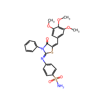 COc1cc(C=C2S/C(=N\c3ccc(S(N)(=O)=O)cc3)N(c3ccccc3)C2=O)cc(OC)c1OC